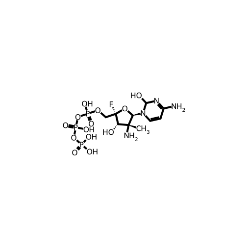 C[C@]1(N)[C@H](N2C=CC(N)=NC2O)O[C@](F)(COP(=O)(O)OP(=O)(O)OP(=O)(O)O)[C@H]1O